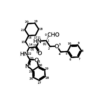 O=C[C@H](COCc1ccccc1)NC(=O)[C@H](CC1CCCCC1)Nc1nc2ccccc2o1